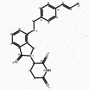 O=C1CCC(N2Cc3c(SCc4ccc(C=CBr)cc4)cccc3C2=O)C(=O)N1